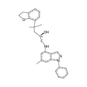 Cc1cc(NC[C@H](O)CC(C)(C)c2cccc3c2OCC3)c2cnn(-c3ccccc3)c2c1